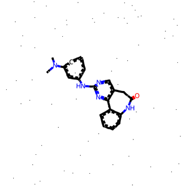 CN(C)c1cccc(Nc2ncc3c(n2)-c2ccccc2NC(=O)C3)c1